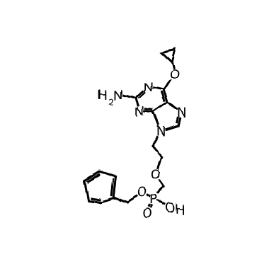 Nc1nc(OC2CC2)c2ncn(CCOCP(=O)(O)OCc3ccccc3)c2n1